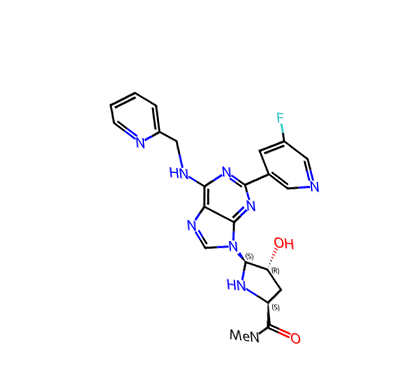 CNC(=O)[C@@H]1C[C@@H](O)[C@H](n2cnc3c(NCc4ccccn4)nc(-c4cncc(F)c4)nc32)N1